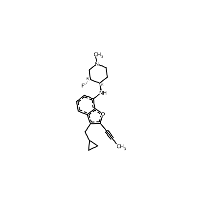 CC#Cc1oc2c(N[C@@H]3CCN(C)C[C@H]3F)cccc2c1CC1CC1